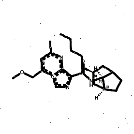 CCCCO[C@H]1CC2CC[C@@H](C1)[C@H]2NC(=O)c1ncn2c(COC)cc(C)nc12